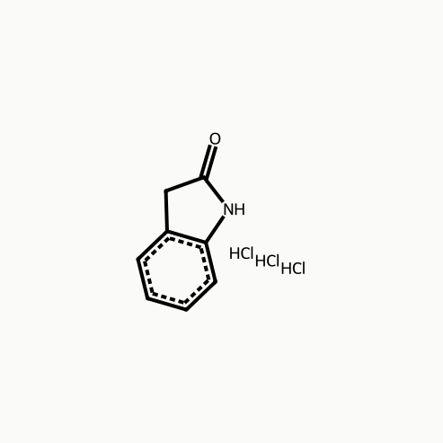 Cl.Cl.Cl.O=C1Cc2ccccc2N1